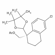 CC(=O)OC[C@@]1(C2OC(C)(C)C(C)(C)O2)CCCc2cc(Cl)ccc21